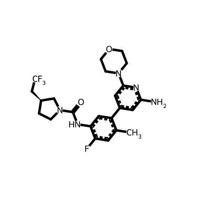 Cc1cc(F)c(NC(=O)N2CC[C@@H](CC(F)(F)F)C2)cc1-c1cc(N)nc(N2CCOCC2)c1